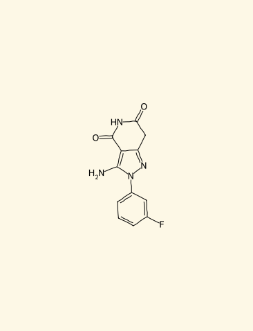 Nc1c2c(nn1-c1cccc(F)c1)CC(=O)NC2=O